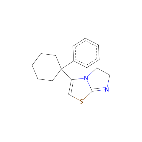 C1=C(C2(c3ccccc3)CCCCC2)N2CCN=C2S1